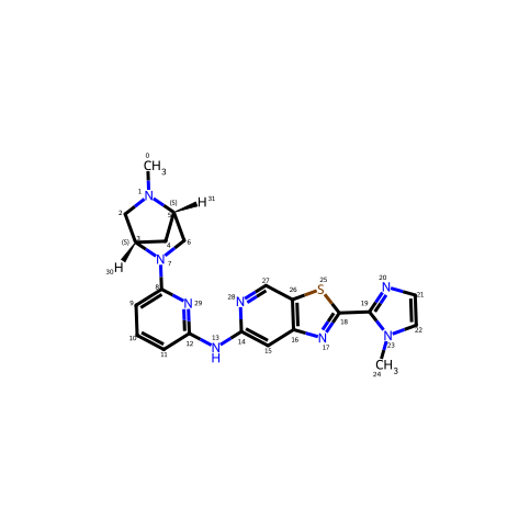 CN1C[C@@H]2C[C@H]1CN2c1cccc(Nc2cc3nc(-c4nccn4C)sc3cn2)n1